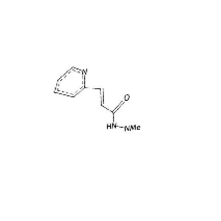 CNNC(=O)C=Cc1ccccn1